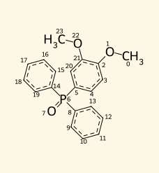 COc1ccc(P(=O)(c2ccccc2)c2ccccc2)cc1OC